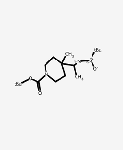 CC(N[S@+]([O-])C(C)(C)C)C1(C)CCN(C(=O)OC(C)(C)C)CC1